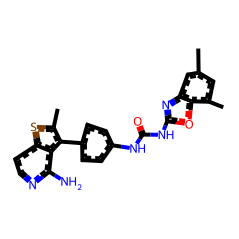 Cc1cc(C)c2oc(NC(=O)Nc3ccc(-c4c(C)sc5ccnc(N)c45)cc3)nc2c1